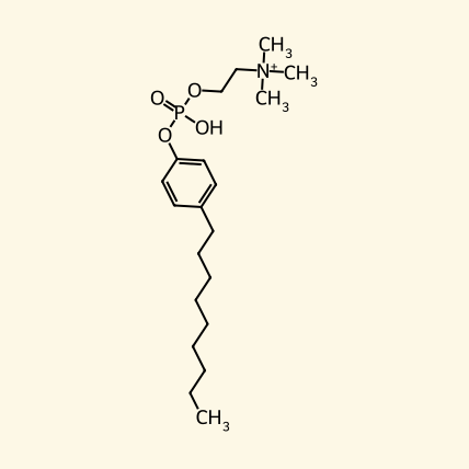 CCCCCCCCCc1ccc(OP(=O)(O)OCC[N+](C)(C)C)cc1